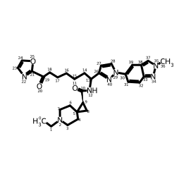 CCN1CCC2(CC1)C[C@@H]2C(=O)NC(CCCCCC(=O)c1ncco1)c1ccn(-c2ccc3nn(C)cc3c2)n1